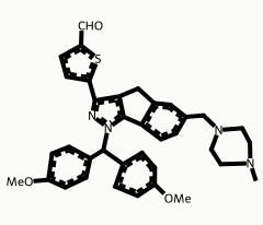 COc1ccc(C(c2ccc(OC)cc2)n2nc(-c3ccc(C=O)s3)c3c2-c2ccc(CN4CCN(C)CC4)cc2C3)cc1